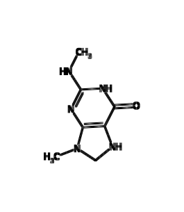 CNc1nc2c(c(=O)[nH]1)NCN2C